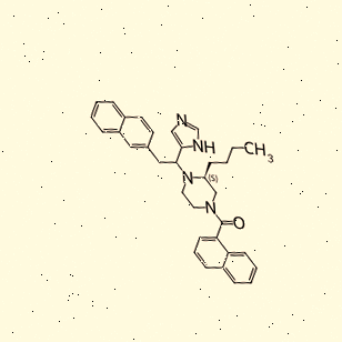 CCCC[C@H]1CN(C(=O)c2cccc3ccccc23)CCN1C(Cc1ccc2ccccc2c1)c1cnc[nH]1